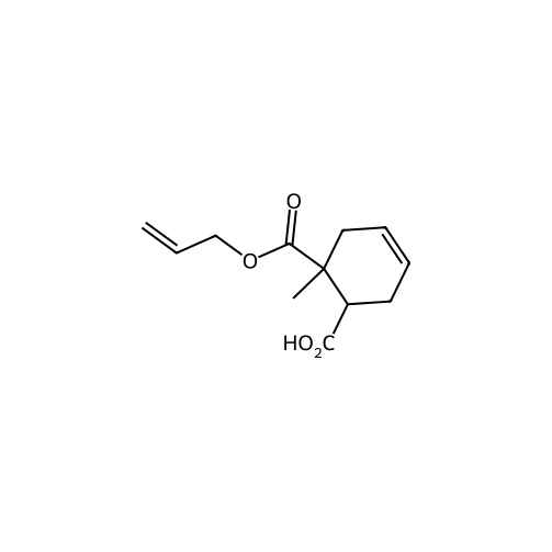 C=CCOC(=O)C1(C)CC=CCC1C(=O)O